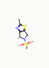 Cc1nc2c(s1)CN(S(C)(=O)=O)C2